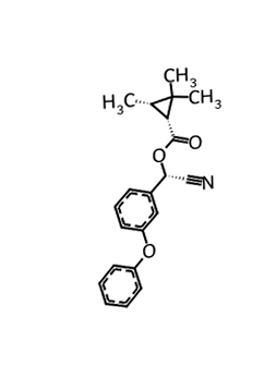 C[C@H]1[C@@H](C(=O)O[C@H](C#N)c2cccc(Oc3ccccc3)c2)C1(C)C